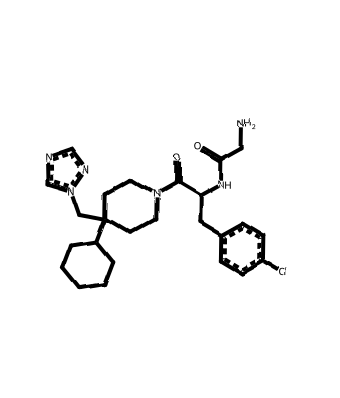 NCC(=O)NC(Cc1ccc(Cl)cc1)C(=O)N1CCC(Cn2cncn2)(C2CCCCC2)CC1